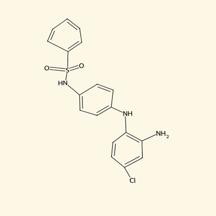 Nc1cc(Cl)ccc1Nc1ccc(NS(=O)(=O)c2ccccc2)cc1